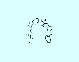 O=C(Cc1ccc(Oc2ccccc2)cc1)Nc1ccc2cnn(CCCNC3CCCC3)c2c1